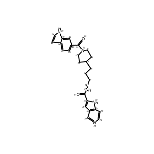 O=C(NCCCCC1CCN(C(=O)c2ccc3cc[nH]c3c2)CC1)c1cc2cnccc2[nH]1